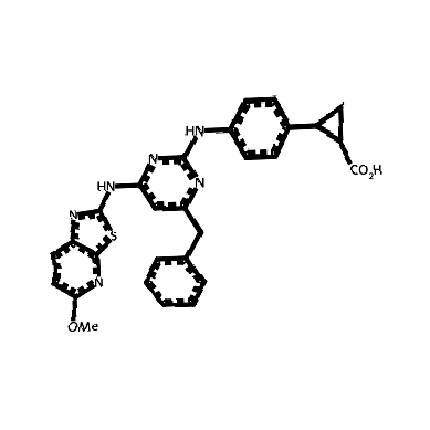 COc1ccc2nc(Nc3cc(Cc4ccccc4)nc(Nc4ccc(C5CC5C(=O)O)cc4)n3)sc2n1